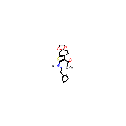 COC(=O)c1c(N(CCc2ccccc2)C(C)=O)sc2c1CCC1(C2)OCCO1